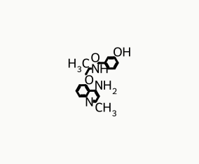 Cc1cc(N)c2c(OC[C@@H](C)NC(=O)c3cccc(O)c3)cccc2n1